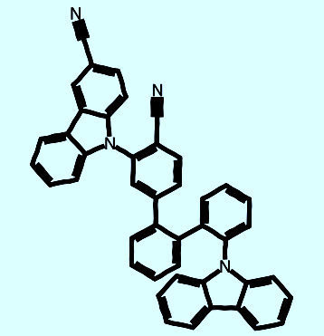 N#Cc1ccc2c(c1)c1ccccc1n2-c1cc(-c2ccccc2-c2ccccc2-n2c3ccccc3c3ccccc32)ccc1C#N